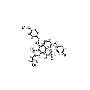 COc1ccc(COc2c3c(c(N(C)S(C)(=O)=O)c4cc(Cc5ccc(F)cc5)cnc24)CN(CC(C)(C)O)C3=O)cc1